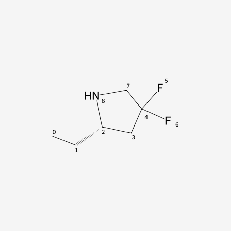 CC[C@H]1CC(F)(F)CN1